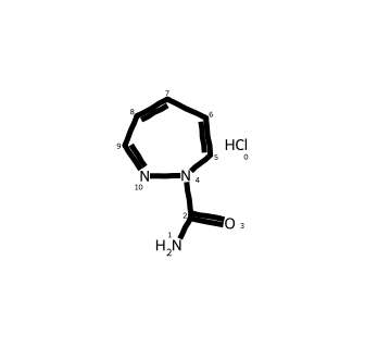 Cl.NC(=O)N1C=CC=CC=N1